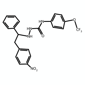 O=C(NNC(Cc1ccc([N+](=O)[O-])cc1)c1ccccc1)Nc1ccc(OC(F)(F)F)cc1